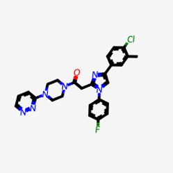 Cc1cc(-c2cn(-c3ccc(F)cc3)c(CC(=O)N3CCN(c4cccnn4)CC3)n2)ccc1Cl